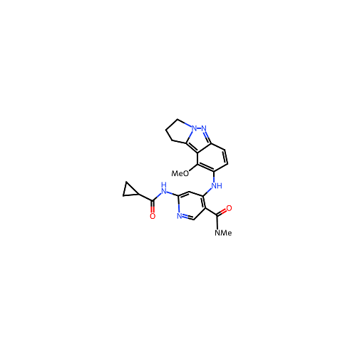 CNC(=O)c1cnc(NC(=O)C2CC2)cc1Nc1ccc2nn3c(c2c1OC)CCC3